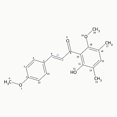 COc1ccc(/C=C/C(=O)c2c(O)c(C)cc(C)c2OC)cc1